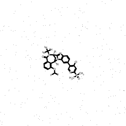 [2H]C([2H])([2H])N1C(=O)c2cccc(OC(F)F)c2[C@H]2C[C@@H]1c1nc3ccc(-c4cnc(P(C)(C)=O)cc4Cl)cc3n12